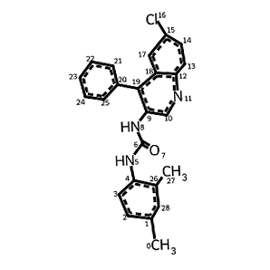 Cc1ccc(NC(=O)Nc2cnc3ccc(Cl)cc3c2-c2ccccc2)c(C)c1